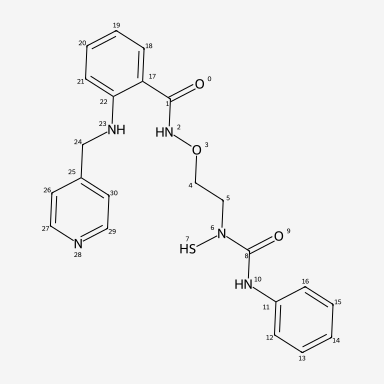 O=C(NOCCN(S)C(=O)Nc1ccccc1)c1ccccc1NCc1ccncc1